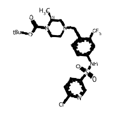 C[C@H]1CN(Cc2ccc(NS(=O)(=O)c3ccc(Cl)nc3)cc2C(F)(F)F)CCN1C(=O)OC(C)(C)C